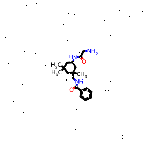 CC1(C)CC(NC(=O)CN)CC(C)(CNC(=O)c2ccccc2)C1